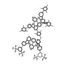 Cc1cc(C)c(-c2ccc3c(c2)c2cc(-c4c(C)cc(C)cc4C)ccc2n3-c2cncc(-n3c4ccc(-c5c(C)cc(C)cc5C)cc4c4cc(-c5c(C)cc(Cc6ccc7c(c6)c6ccc(C8CC(C(F)(F)F)CC(C(F)(F)F)C8)cc6n7-c6cncc(-n7c8ccccc8c8ccc(-c9cc(C(F)(F)F)cc(C(F)(F)F)c9)cc87)c6-c6ccccc6C#N)cc5C)ccc43)c2-c2cccc(C#N)c2)c(C)c1